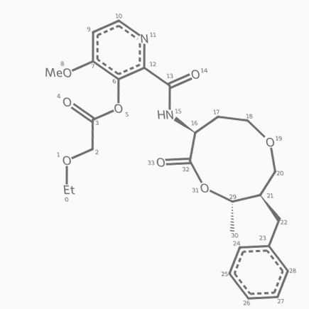 CCOCC(=O)Oc1c(OC)ccnc1C(=O)N[C@H]1CCOC[C@@H](Cc2ccccc2)[C@H](C)OC1=O